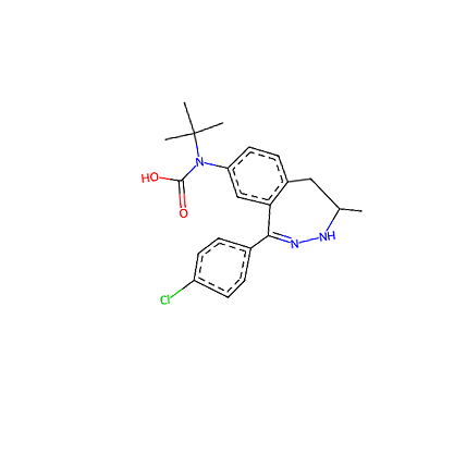 CC1Cc2ccc(N(C(=O)O)C(C)(C)C)cc2C(c2ccc(Cl)cc2)=NN1